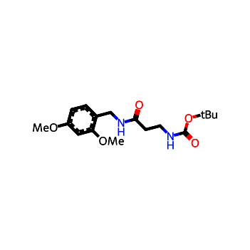 COc1ccc(CNC(=O)CCNC(=O)OC(C)(C)C)c(OC)c1